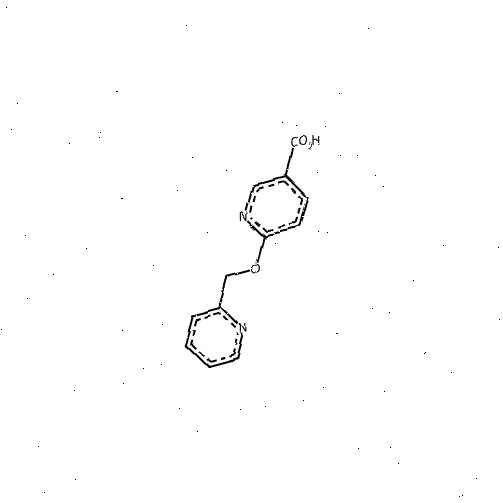 O=C(O)c1ccc(OCc2ccccn2)nc1